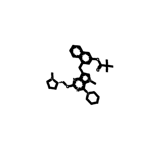 CN1CCC[C@H]1COc1nc(N2CCCCC2)c2c(n1)c(Cc1cc(OC(=O)C(C)(C)C)cc3ccccc13)cn2C